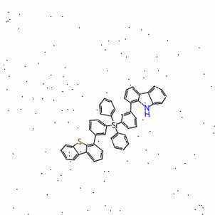 c1ccc([Si](c2ccccc2)(c2cccc(-c3cccc4c3[nH]c3ccccc34)c2)c2cccc(-c3cccc4c3sc3ccccc34)c2)cc1